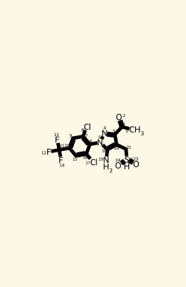 CC(=O)c1nn(-c2c(Cl)cc(C(F)(F)F)cc2Cl)c(N)c1C[SH](=O)=O